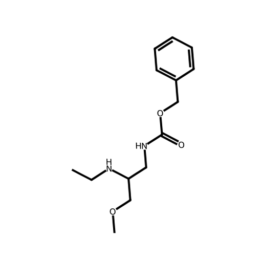 CCNC(CNC(=O)OCc1ccccc1)COC